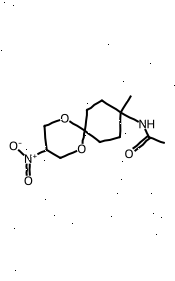 CC(=O)NC1(C)CCC2(CC1)OCC([N+](=O)[O-])CO2